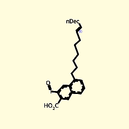 CCCCCCCCCC/C=C/CCCCCCc1cccc2cc(C(=O)O)c(I=O)cc12